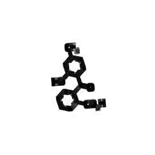 O=C(O)c1ccccc1C(=O)c1ccc(C(F)(F)F)cc1O